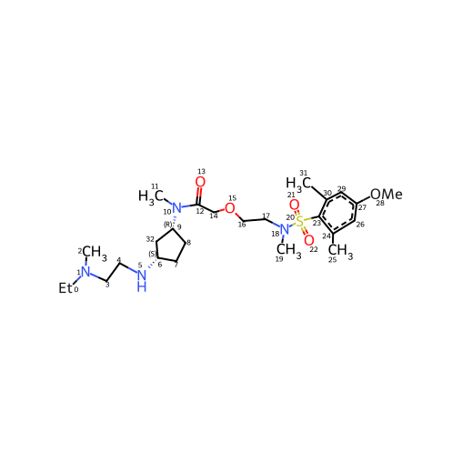 CCN(C)CCN[C@H]1CC[C@@H](N(C)C(=O)COCCN(C)S(=O)(=O)c2c(C)cc(OC)cc2C)C1